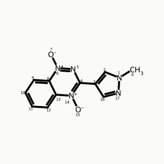 Cn1cc(-c2n[n+]([O-])c3ccccc3[n+]2[O-])cn1